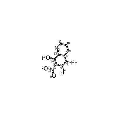 O=[N+]([O-])c1c(F)c(F)c2cccnc2c1O